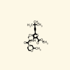 CC[C@H](Nc1cc(C#CC(C)(C)C)sc1C(=O)OC)C(=O)N1CCOC(C)C1